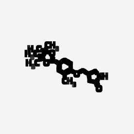 Cc1cc(B2OC(C)(C)C(C)(C)O2)ccc1OCC1CNC(=O)C1